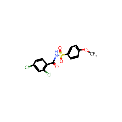 O=C(NS(=O)(=O)c1ccc(OC(F)(F)F)cc1)c1ccc(Cl)cc1Cl